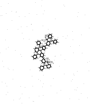 CC1(C)c2ccccc2N(c2ccccc2)c2ccc(-c3ccc4c(c3)N(c3ccccc3)c3cccc5c3B4c3ccc(-c4ccc6c(c4)C(C)(C)c4ccccc4N6c4ccccc4)cc3N5c3ccccc3)cc21